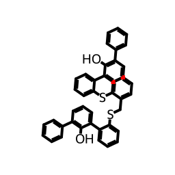 Oc1c(-c2ccccc2)cccc1-c1ccccc1SCc1ccccc1Sc1ccccc1-c1cccc(-c2ccccc2)c1O